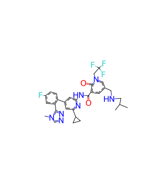 CC(C)CNCc1cc(C(=O)Nc2cc(-c3ccc(F)cc3-c3nncn3C)cc(C3CC3)n2)c(=O)n(CC(F)(F)F)c1